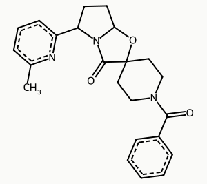 Cc1cccc(C2CCC3OC4(CCN(C(=O)c5ccccc5)CC4)C(=O)N32)n1